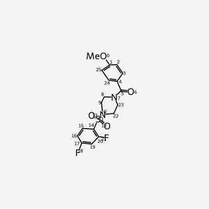 COc1ccc(C(=O)N2CCN(S(=O)(=O)c3ccc(F)cc3F)CC2)cc1